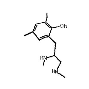 CNCC(Cc1cc(C)cc(C)c1O)NC